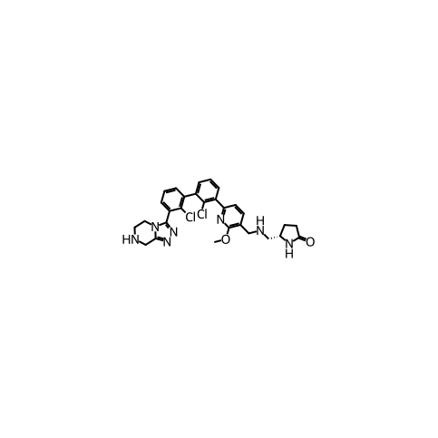 COc1nc(-c2cccc(-c3cccc(-c4nnc5n4CCNC5)c3Cl)c2Cl)ccc1CNC[C@@H]1CCC(=O)N1